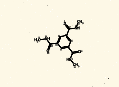 CNC(=O)c1cc(C(=O)NC)cc(C(=O)NC)c1